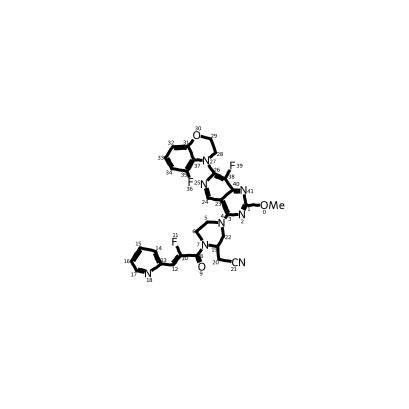 COc1nc(N2CCN(C(=O)/C(F)=C/c3ccccn3)C(CC#N)C2)c2cnc(N3CCOc4cccc(F)c43)c(F)c2n1